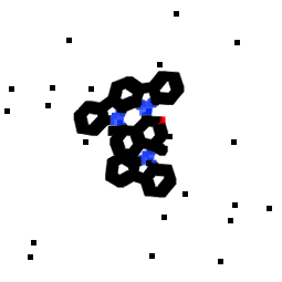 CC1C=CC2(C)C3=C1C(C)(n1c4ccccc4c4ccccc41)C=CC3(C)n1c3ccccc3c3ccc4c5ccccc5n2c4c31